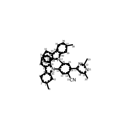 Cc1ccc2c3ccccc3n(-c3cc(C#N)c(-c4cc(C)nc(C)n4)cc3-n3c4ccccc4c4ccc(C)cc43)c2c1